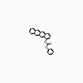 O=C(Oc1ccccc1)Oc1cccc2cc3cc4ccccc4cc3cc12